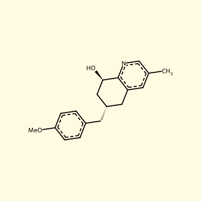 COc1ccc(C[C@H]2Cc3cc(C)cnc3[C@H](O)C2)cc1